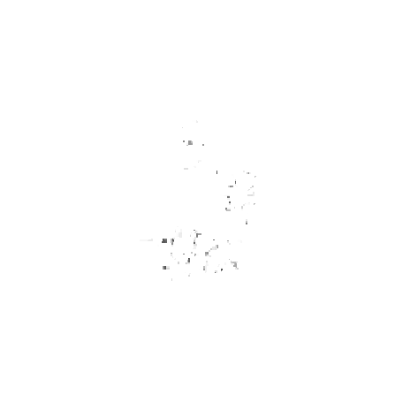 CC(C)NCC(O)COc1cccc2cc(CCCC(N[C@@H](C)C(=O)N3CCC[C@H]3C(=O)O)C(=O)O)ccc12